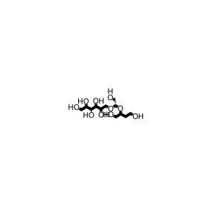 OCCC(CO)O[C@@H](CO)OCC(O)C(O)[C@H](O)C(O)CO